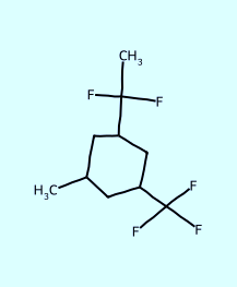 CC1CC(C(C)(F)F)CC(C(F)(F)F)C1